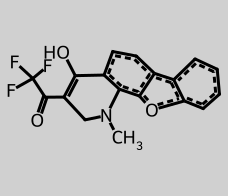 CN1CC(C(=O)C(F)(F)F)=C(O)c2ccc3c(oc4ccccc43)c21